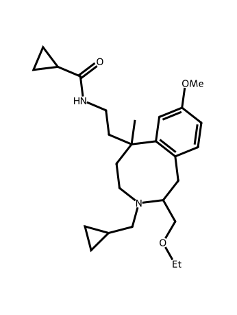 CCOCC1Cc2ccc(OC)cc2C(C)(CCNC(=O)C2CC2)CCN1CC1CC1